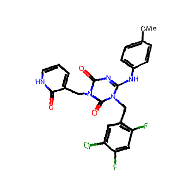 COc1ccc(Nc2nc(=O)n(Cc3ccc[nH]c3=O)c(=O)n2Cc2cc(Cl)c(F)cc2F)cc1